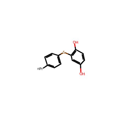 CCCc1ccc(Sc2cc(O)ccc2O)cc1